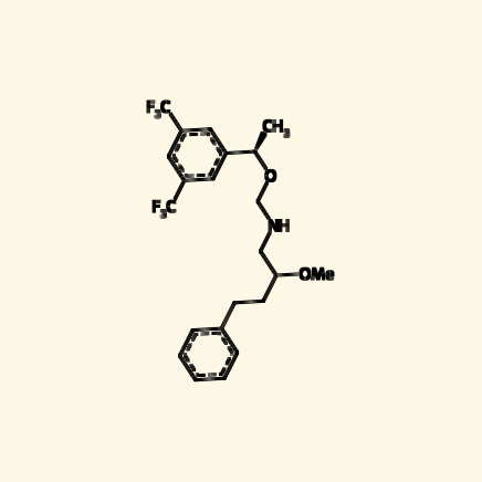 COC(CCc1ccccc1)CNCO[C@H](C)c1cc(C(F)(F)F)cc(C(F)(F)F)c1